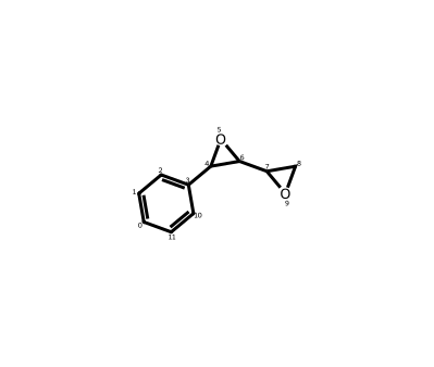 c1ccc(C2OC2C2CO2)cc1